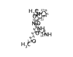 CCC(=O)CCCCCC(NC(=O)C1CNC1)c1ncc(-c2cc3ccccc3n(C)c2=O)o1